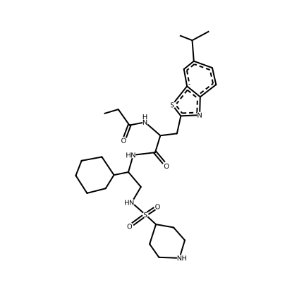 CCC(=O)NC(Cc1nc2ccc(C(C)C)cc2s1)C(=O)NC(CNS(=O)(=O)C1CCNCC1)C1CCCCC1